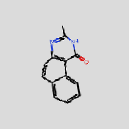 Cc1nc2ccc3ccccc3c2c(=O)[nH]1